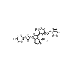 Nc1ncnc2c1c(-c1cc(OCC34CCC(CC3)O4)ccc1F)cn2[C@H]1C[C@@H](N2CCNCC2)C1